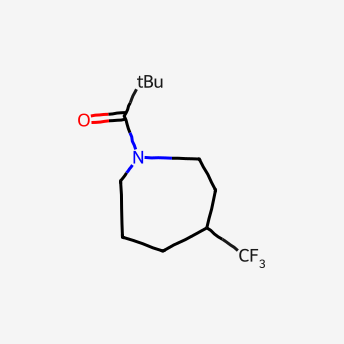 CC(C)(C)C(=O)N1CCCC(C(F)(F)F)CC1